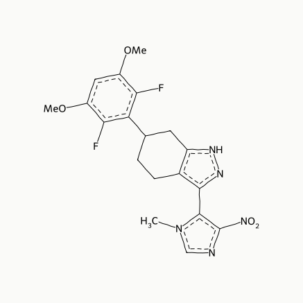 COc1cc(OC)c(F)c(C2CCc3c(-c4c([N+](=O)[O-])ncn4C)n[nH]c3C2)c1F